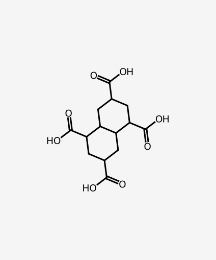 O=C(O)C1CC(C(=O)O)C2CC(C(=O)O)CC(C(=O)O)C2C1